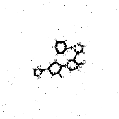 Cc1cc(-c2nccs2)ccc1-n1ccc(=O)c(-c2ccnn2-c2ccccc2)n1